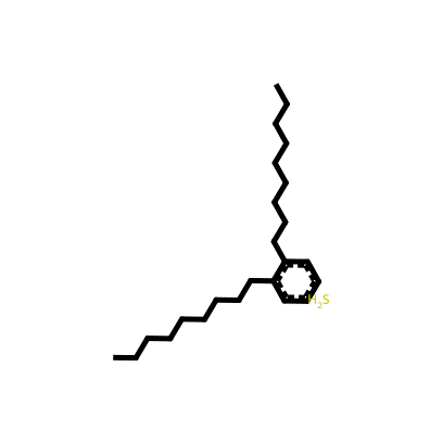 CCCCCCCCCc1ccccc1CCCCCCCCC.S